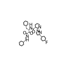 O=C(NCCc1ccccc1)C(=O)[C@@H](Cc1ccccc1)NC(=O)c1cccnc1-n1ccc(-c2ccc(F)cc2)n1